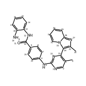 Cc1cnc(Nc2ccc(C(=O)Nc3ccccc3N)cc2)nc1-c1c(C)nc2ccccn12